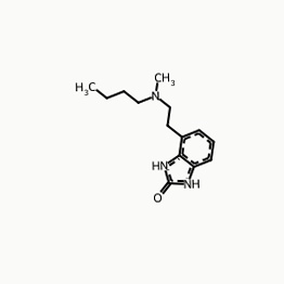 CCCCN(C)CCc1cccc2[nH]c(=O)[nH]c12